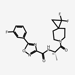 C[C@H](NC(=O)c1noc(-c2cccc(F)c2)n1)C(=O)N1CCC2(CC1)CC2(F)F